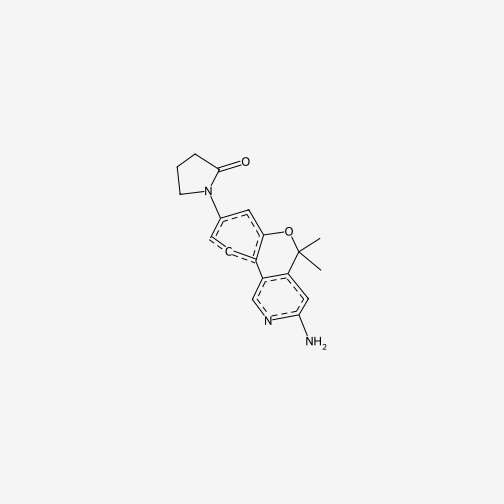 CC1(C)Oc2cc(N3CCCC3=O)ccc2-c2cnc(N)cc21